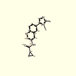 Cc1ncc(-c2ccc3nnc(NC(=O)C4CC4)cc3c2)n1C